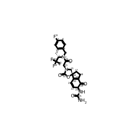 C[C@H](N(Cc1ccc(F)cc1)C(=O)CN1C[C@]2(CCC3=C2C=CC(NC(N)=O)C3=O)OC1=O)C(F)(F)F